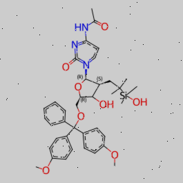 COc1ccc(C(OC[C@H]2O[C@@H](n3ccc(NC(C)=O)nc3=O)[C@@H](CC(C)(C)[Si](C)(C)O)C2O)(c2ccccc2)c2ccc(OC)cc2)cc1